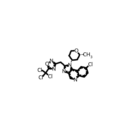 C[C@@H]1C[C@H](n2c(Cc3noc(C(Cl)(Cl)Cl)n3)nc3cnc4ccc(Cl)cc4c32)CCO1